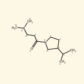 CC(C)C1CCN(C(=O)CCN(C)C)C1